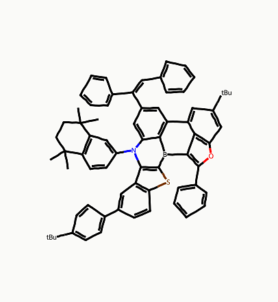 CC(C)(C)c1ccc(-c2ccc3sc4c(c3c2)N(c2ccc3c(c2)C(C)(C)CCC3(C)C)c2cc(/C(=C\c3ccccc3)c3ccccc3)cc3c2B4c2c(-c4ccccc4)oc4cc(C(C)(C)C)cc-3c24)cc1